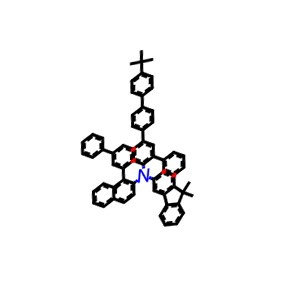 CC(C)(C)c1ccc(-c2ccc(-c3ccc(N(c4ccc5c(c4)-c4ccccc4C5(C)C)c4ccc5ccccc5c4-c4cccc(-c5ccccc5)c4)c(-c4ccccc4)c3)cc2)cc1